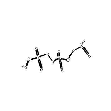 O=[SH](=O)OOS(=O)(=O)OOS(=O)(=O)OO